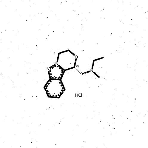 CCN(C)C[C@H]1OCCn2nc3ccccc3c21.Cl